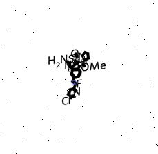 COC[C@@H]1CCCN1C(=O)[C@]12C=C1[C@@](C)(c1cc(/C=C(\F)c3ccc(Cl)cn3)ccc1F)N=C(N)S2